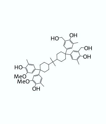 COc1cc(C2(c3cc(C)c(O)c(OC)c3)CCC(C(C)(C)C3CCC(c4cc(C)c(O)c(CO)c4)(c4cc(C)c(O)c(CO)c4)CC3)CC2)cc(C)c1O